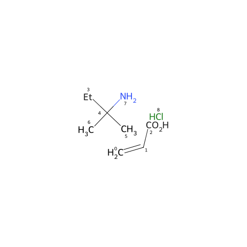 C=CC(=O)O.CCC(C)(C)N.Cl